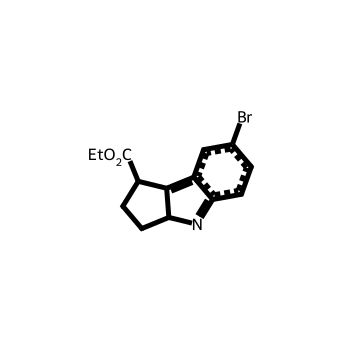 CCOC(=O)C1CCC2N=c3ccc(Br)cc3=C21